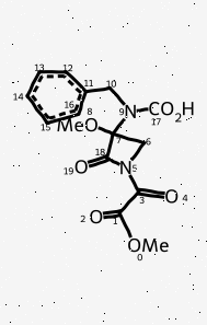 COC(=O)C(=O)N1CC(OC)(N(Cc2ccccc2)C(=O)O)C1=O